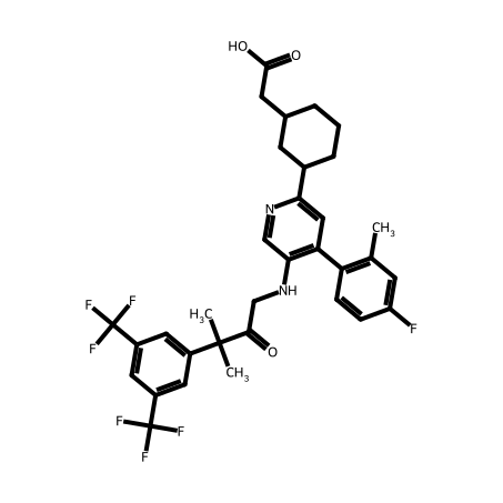 Cc1cc(F)ccc1-c1cc(C2CCCC(CC(=O)O)C2)ncc1NCC(=O)C(C)(C)c1cc(C(F)(F)F)cc(C(F)(F)F)c1